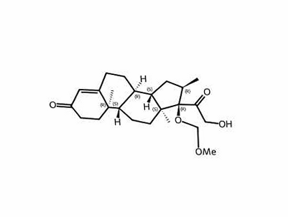 COCO[C@]1(C(=O)CO)[C@H](C)C[C@H]2[C@@H]3CCC4=CC(=O)CC[C@]4(C)[C@H]3CC[C@@]21C